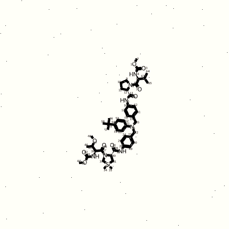 COC(=O)N[C@H](C(=O)N1CCC[C@H]1C(=O)Nc1ccc(CN(Cc2ccc(NC(=O)[C@@H]3C[Si](C)(C)CN3C(=O)[C@@H](NC(=O)OC)C(C)OC)cc2)c2ccc(C(C)(C)C)cc2)cc1)C(C)C